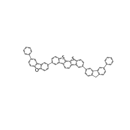 c1ccc(-c2ccc3c(c2)-c2cc(-c4ccc5sc6c(ccc7c8cc(-c9ccc%10oc%11ccc(-c%12ccccc%12)cc%11c%10c9)ccc8sc76)c5c4)ccc2C3)cc1